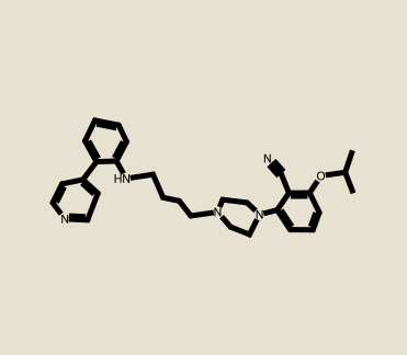 CC(C)Oc1cccc(N2CCN(CCCCNc3ccccc3-c3ccncc3)CC2)c1C#N